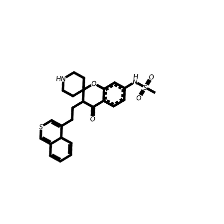 CS(=O)(=O)Nc1ccc2c(c1)OC1(CCNCC1)C(CCC1=CSC=C3C=CC=CC31)C2=O